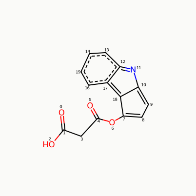 O=C(O)CC(=O)OC1=CC=C2N=c3ccccc3=C21